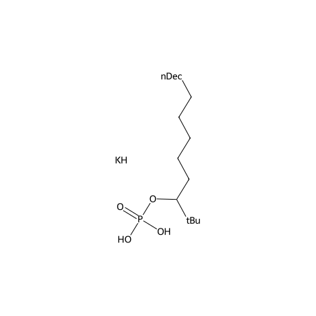 CCCCCCCCCCCCCCCC(OP(=O)(O)O)C(C)(C)C.[KH]